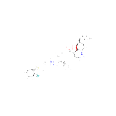 COc1ccc2nccc([C@@H](O)CC[C@@H]3CCN(CCCSc4ccccc4F)C[C@@H]3CC(=O)O)c2c1